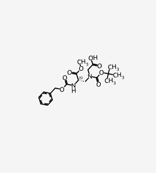 COC(=O)[C@H](CN(CC(=O)O)C(=O)OC(C)(C)C)NC(=O)OCc1ccccc1